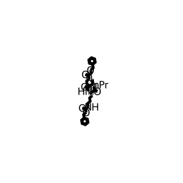 CCCN1C(=O)[C@H](CCCCNC(=O)OCc2ccccc2)NC(=O)C12CCN(C(=O)COCc1ccccc1)CC2